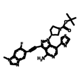 Cn1cnc2cc(C#Cc3nn([C@H]4CCN(C(=O)OC(C)(C)C)C4)c4c(-c5cscn5)cnc(N)c34)c(F)cc21